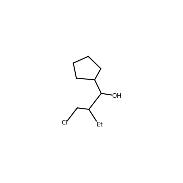 CCC(CCl)C(O)C1CCCC1